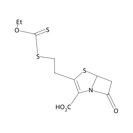 CCOC(=S)SCCC1=C(C(=O)O)N2C(=O)CC2S1